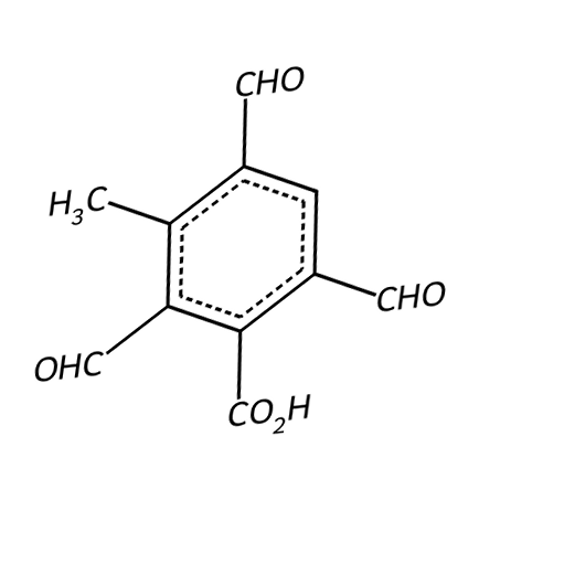 Cc1c(C=O)cc(C=O)c(C(=O)O)c1C=O